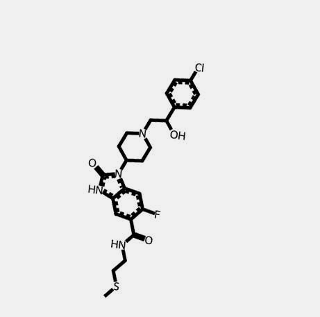 CSCCNC(=O)c1cc2[nH]c(=O)n(C3CCN(CC(O)c4ccc(Cl)cc4)CC3)c2cc1F